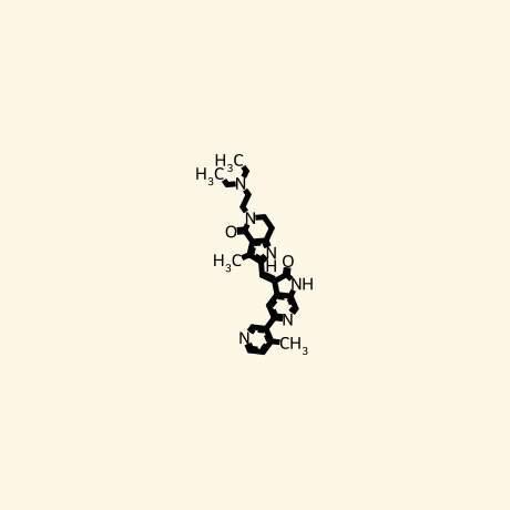 CCN(CC)CCN1CCc2[nH]c(C=C3C(=O)Nc4cnc(-c5cnccc5C)cc43)c(C)c2C1=O